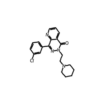 O=c1c2cccnc2c(-c2cccc(Cl)c2)nn1CCN1CCCCC1